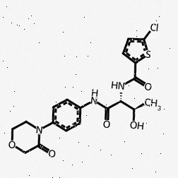 C[C@@H](O)[C@@H](NC(=O)c1ccc(Cl)s1)C(=O)Nc1ccc(N2CCOCC2=O)cc1